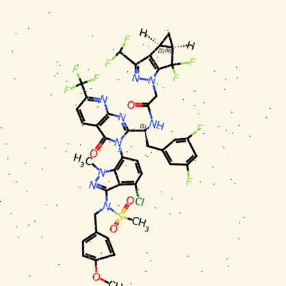 COc1ccc(CN(c2nn(C)c3c(-n4c([C@H](Cc5cc(F)cc(F)c5)NC(=O)Cn5nc(C(F)F)c6c5C(F)(F)[C@@H]5C[C@H]65)nc5nc(C(F)(F)F)ccc5c4=O)ccc(Cl)c23)S(C)(=O)=O)cc1